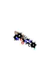 C[C@@H]1CN(Cc2ccc(F)cc2)[C@@H](C)CN1C(=O)COc1c(Br)cc(Br)c2cccnc12